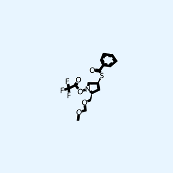 COCOC[C@@H]1C[C@H](SC(=O)c2ccccc2)CN1OC(=O)C(F)(F)F